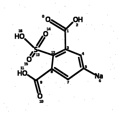 O=C(O)c1c[c]([Na])cc(C(=O)O)c1S(=O)(=O)O